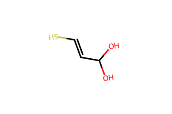 OC(O)C=CS